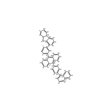 C1=CC2Sc3c(-c4cccc(-c5c6ccccc6c(-c6ccc(-c7cccc8ccccc78)cc6)c6ccccc56)c4)cccc3C2C=C1